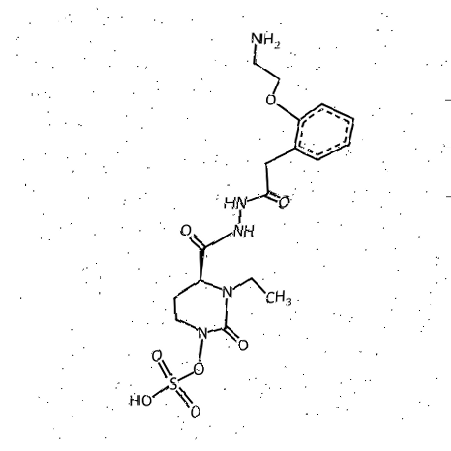 CCN1C(=O)N(OS(=O)(=O)O)CC[C@H]1C(=O)NNC(=O)Cc1ccccc1OCCN